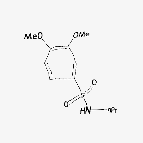 CCCNS(=O)(=O)c1ccc(OC)c(OC)c1